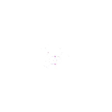 CC(C)N(C[C@@H](C(=O)N1C2CCCC1CC(c1ncnc3[nH]ccc13)C2)c1ccc(Cl)cc1)C(=O)OC(C)(C)C